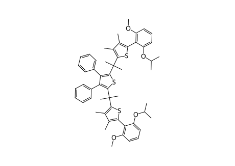 COc1cccc(OC(C)C)c1-c1sc(C(C)(C)c2sc(C(C)(C)c3sc(-c4c(OC)cccc4OC(C)C)c(C)c3C)c(-c3ccccc3)c2-c2ccccc2)c(C)c1C